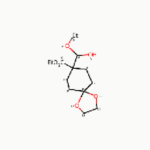 CCOC(=O)C1(C(O)OCC)CCC2(CC1)OCCO2